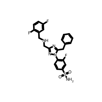 NS(=O)(=O)c1ccc(-n2nc(CNCc3cc(F)ccc3F)nc2Cc2ccccc2)c(F)c1